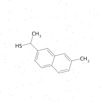 Cc1ccc2ccc(C(C)S)cc2c1